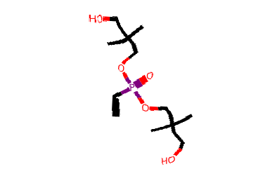 C=CP(=O)(OCC(C)(C)CO)OCC(C)(C)CO